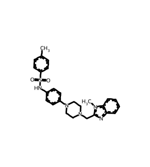 Cc1ccc(S(=O)(=O)Nc2ccc(N3CCN(Cc4nc5ccccc5n4C)CC3)cc2)cc1